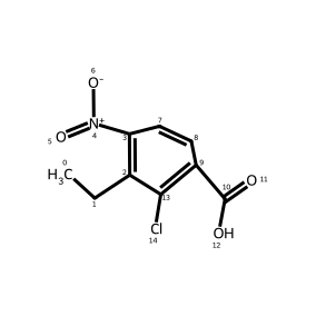 CCc1c([N+](=O)[O-])ccc(C(=O)O)c1Cl